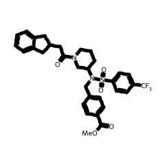 COC(=O)c1ccc(CN(C2CCCN(C(=O)CC3Cc4ccccc4C3)C2)S(=O)(=O)c2ccc(C(F)(F)F)cc2)cc1